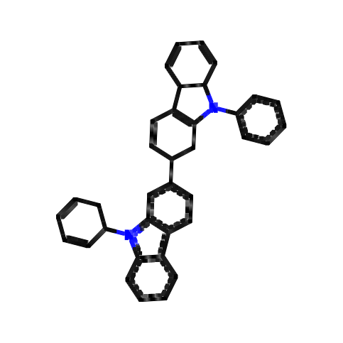 C1=CCC(n2c3ccccc3c3ccc(C4C=CC5=C(C4)N(c4ccccc4)C4C=CC=CC54)cc32)C=C1